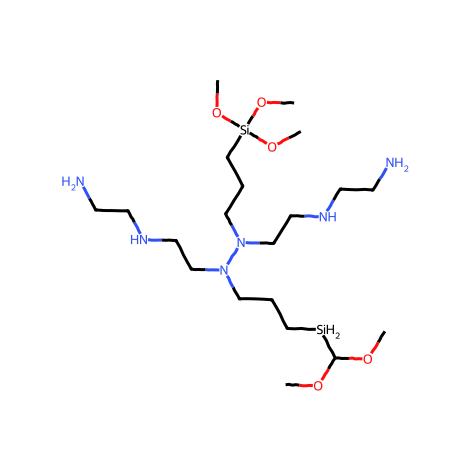 COC(OC)[SiH2]CCCN(CCNCCN)N(CCC[Si](OC)(OC)OC)CCNCCN